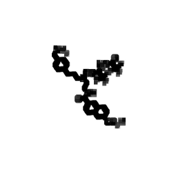 CN(CCCc1ccc(CN)cc1)CCNC(=O)c1ccc2cc(C(=O)O)ccc2c1.O=C(O)C(F)(F)F.O=C(O)C(F)(F)F